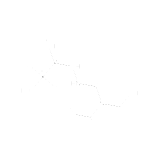 CCN(CC)CN[SiH2]C(C)C(C)(C)C